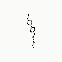 C=CCC1CCC(c2ccc(COCC=CCC)cc2)CC1